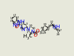 CC1CN(c2ccc(C(=O)Nc3ccccc3N)cn2)CCN1C(=O)OCc1ccc(C2C[C@@H]2NCC2CC2)cc1